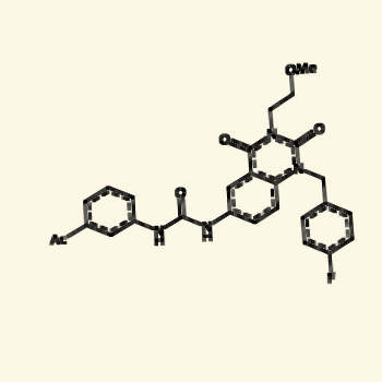 COCCn1c(=O)c2cc(NC(=O)Nc3cccc(C(C)=O)c3)ccc2n(Cc2ccc(F)cc2)c1=O